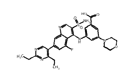 CCc1ncc(-c2cc(F)c3c(Nc4cc(C(=O)O)cc(N5CCOCC5)c4)c(S(N)(=O)=O)cnc3c2)c(CC)n1